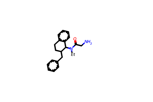 CCN(C(=O)CN)C1c2ccccc2CCC1Cc1ccccc1